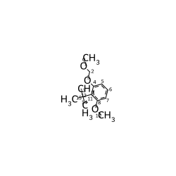 COCOc1cccc(OC)c1C(C)(C)C